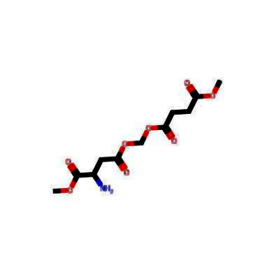 COC(=O)CCC(=O)OCOC(=O)CC(N)C(=O)OC